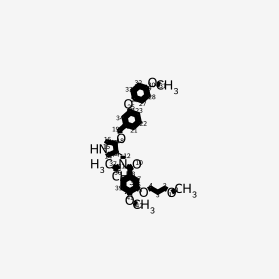 COCCCOc1cc(C(=O)N(C[C@@H]2CNC[C@H]2OCc2cccc(Oc3ccc(OC)cc3)c2)C(C)C)ccc1OC